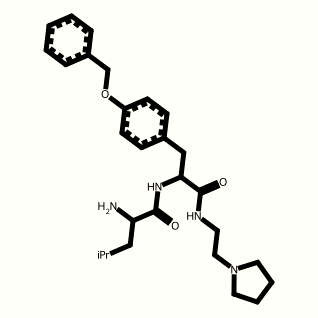 CC(C)CC(N)C(=O)NC(Cc1ccc(OCc2ccccc2)cc1)C(=O)NCCN1CCCC1